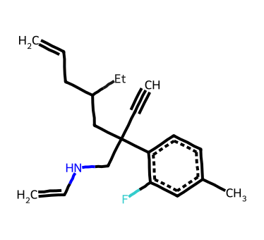 C#CC(CNC=C)(CC(CC)CC=C)c1ccc(C)cc1F